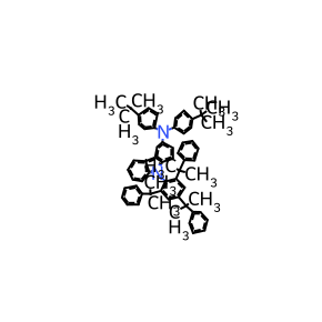 CC(C)(C)c1ccc(N(c2ccc(C(C)(C)C)cc2)c2ccc3c(c2)c2ccccc2n3-c2c(C(C)(C)c3ccccc3)cc(C(C)(C)c3ccccc3)cc2C(C)(C)c2ccccc2)cc1